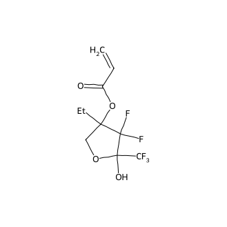 C=CC(=O)OC1(CC)COC(O)(C(F)(F)F)C1(F)F